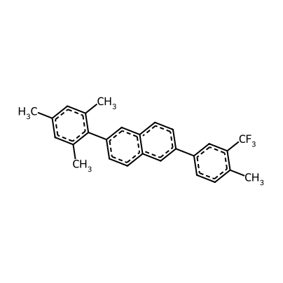 Cc1cc(C)c(-c2ccc3cc(-c4ccc(C)c(C(F)(F)F)c4)ccc3c2)c(C)c1